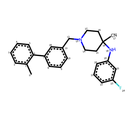 Cc1ccccc1-c1cccc(CN2CCC(C#N)(Nc3cccc(F)c3)CC2)c1